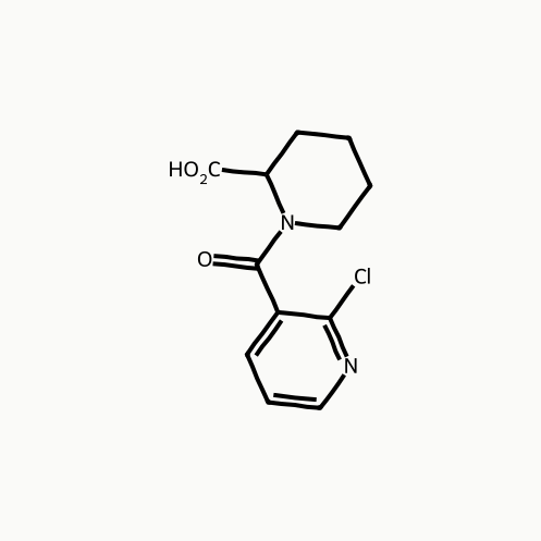 O=C(O)C1CCCCN1C(=O)c1cccnc1Cl